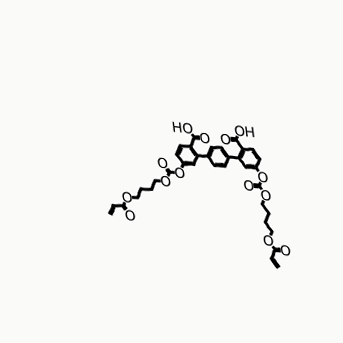 C=CC(=O)OCCCCOC(=O)Oc1ccc(C(=O)O)c(-c2ccc(-c3cc(OC(=O)OCCCCOC(=O)C=C)ccc3C(=O)O)cc2)c1